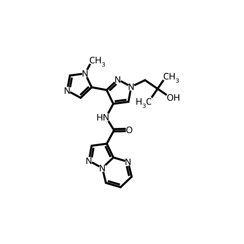 Cn1cncc1-c1nn(CC(C)(C)O)cc1NC(=O)c1cnn2cccnc12